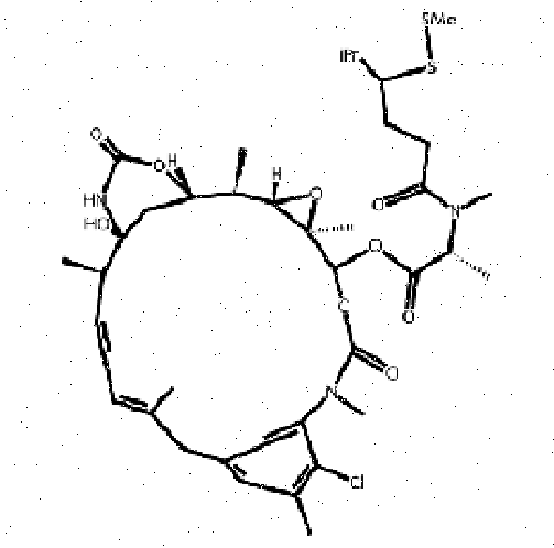 CSSC(CCC(=O)N(C)[C@H](C)C(=O)OC1CC(=O)N(C)c2cc(cc(C)c2Cl)C/C(C)=C/C=C/[C@@H](C)[C@@]2(O)C[C@H](OC(=O)N2)[C@@H](C)[C@@H]2O[C@@]12C)C(C)C